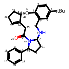 COc1ccc(C(C)(C)C)cc1CNC1CCC(c2ccccc2)N1C(=O)CC1=CCCC1